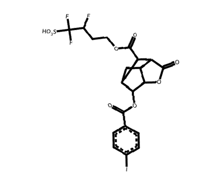 O=C(OC1C2CC3C1OC(=O)C3C2C(=O)OCCC(F)C(F)(F)S(=O)(=O)O)c1ccc(I)cc1